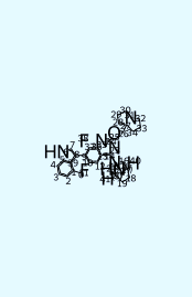 Cc1cccc2[nH]cc(-c3c(F)cc4c(N5C[C@H]6CC[C@@H](C5)N6)nc(OCC56CCCN5CCC6)nc4c3F)c12